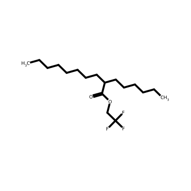 CCCCCCCCC(CCCCCC)C(=O)OCC(F)(F)F